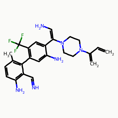 C=CC(=C)N1CCN(/C(=C/N)c2cc(C(F)(F)F)c(-c3c(C)ccc(N)c3C=N)cc2N)CC1